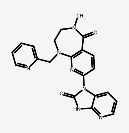 CN1CCN(Cc2ccccn2)c2nc(-n3c(=O)[nH]c4ncccc43)ccc2C1=O